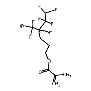 C=C(C)C(=O)OCCCC(F)(C(F)(F)[C](F)F)C(F)(F)C(C)C